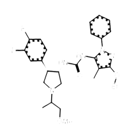 CCOc1nn(-c2ccccc2)c(NC(=O)N[C@@H]2CN(C(C)COC)C[C@H]2c2ccc(F)c(F)c2)c1C